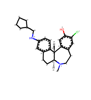 CN1CCc2cc(Cl)c(O)cc2[C@H]2c3ccc(NCC4CCCC4)cc3CC[C@@H]21